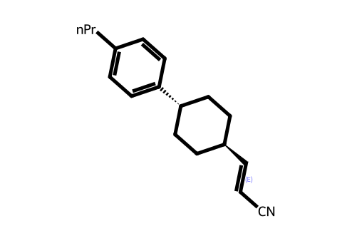 CCCc1ccc([C@H]2CC[C@H](/C=C/C#N)CC2)cc1